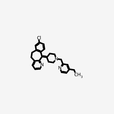 CCc1ccnc(CN2CCC(=C3c4ccc(Cl)cc4CCc4cccnc43)CC2)c1